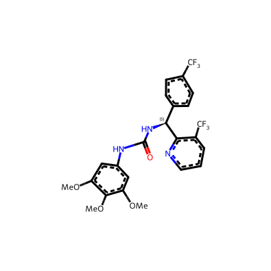 COc1cc(NC(=O)N[C@@H](c2ccc(C(F)(F)F)cc2)c2ncccc2C(F)(F)F)cc(OC)c1OC